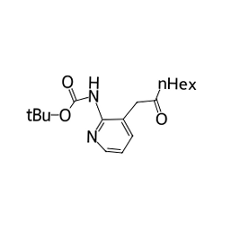 CCCCCCC(=O)Cc1cccnc1NC(=O)OC(C)(C)C